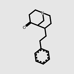 O=C1CCN2CCC(CCc3ccccc3)C1C2